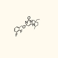 CCC12CCC(C)N1c1cc(OCc3cccc(F)c3F)nc(=O)n1C2